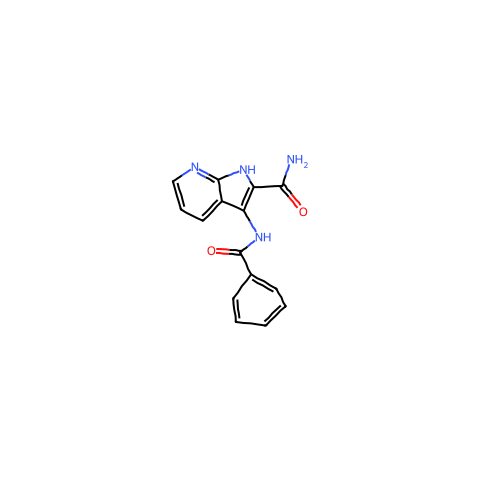 NC(=O)c1[nH]c2ncccc2c1NC(=O)c1ccccc1